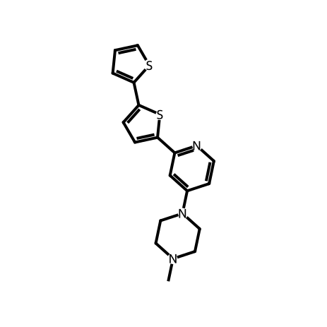 CN1CCN(c2ccnc(-c3ccc(-c4cccs4)s3)c2)CC1